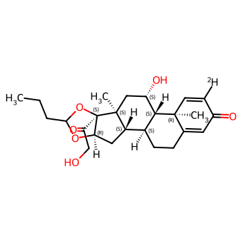 [2H]C1=C[C@@]2(C)C(=CC1=O)CC[C@@H]1[C@@H]2[C@@H](O)C[C@@]2(C)[C@H]1C[C@H]1OC(CCC)O[C@]12C(=O)CO